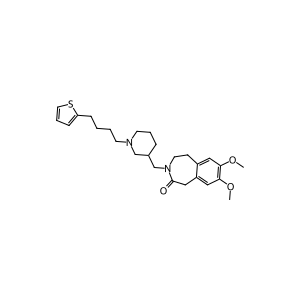 COc1cc2c(cc1OC)CC(=O)N(CC1CCCN(CCCCc3cccs3)C1)CC2